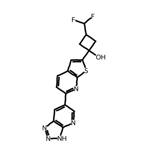 OC1(c2cc3ccc(-c4cnc5[nH]nnc5c4)nc3s2)CC(C(F)F)C1